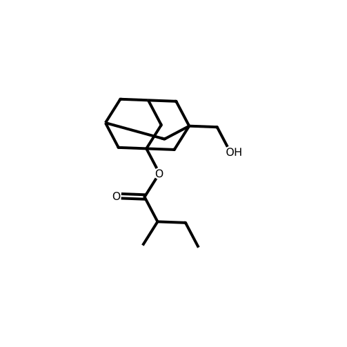 CCC(C)C(=O)OC12CC3CC(CC(CO)(C3)C1)C2